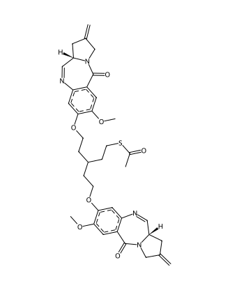 C=C1C[C@H]2C=Nc3cc(OCCC(CCOc4cc5c(cc4OC)C(=O)N4CC(=C)C[C@H]4C=N5)CCSC(C)=O)c(OC)cc3C(=O)N2C1